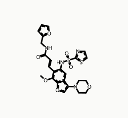 COc1c(/C=C/C(=O)NCc2ccco2)c(NS(=O)(=O)c2nccs2)cc2c(N3CCOCC3)coc12